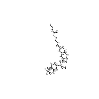 CCOC(=O)CCCCOc1ccc2c(c1)C[C@@H](NCC(O)c1ccc3c(c1)COC(C)(C)O3)CC2